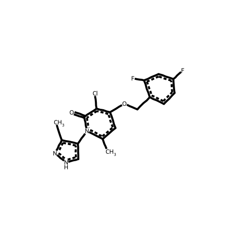 Cc1n[nH]cc1-n1c(C)cc(OCc2ccc(F)cc2F)c(Cl)c1=O